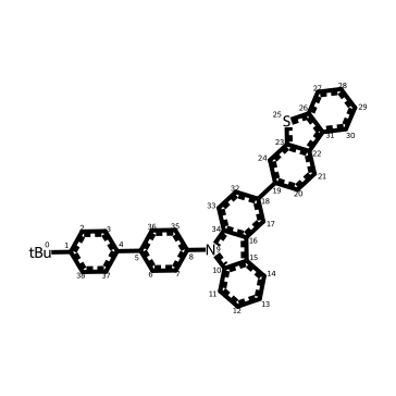 CC(C)(C)c1ccc(-c2ccc(-n3c4ccccc4c4cc(-c5ccc6c(c5)sc5ccccc56)ccc43)cc2)cc1